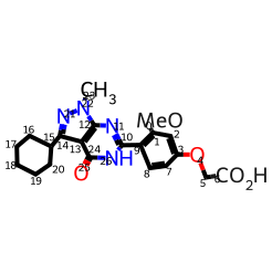 COc1cc(OCC(=O)O)ccc1-c1nc2c(c(C3CCCCC3)nn2C)c(=O)[nH]1